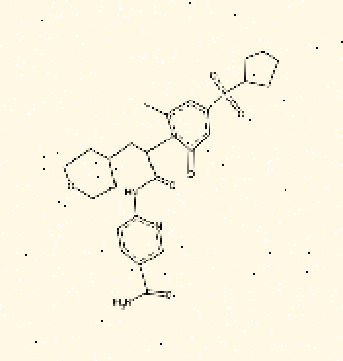 Cc1cc(S(=O)(=O)C2CCCC2)cc(=O)n1C(CC1CCOCC1)C(=O)Nc1ccc(C(N)=O)cn1